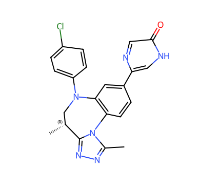 Cc1nnc2n1-c1ccc(-c3c[nH]c(=O)cn3)cc1N(c1ccc(Cl)cc1)C[C@H]2C